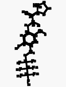 COc1nc(OCC(F)(F)C(F)(F)C(F)(F)F)c(F)cc1CN(C)C(=O)[C@@H]1CCCN1